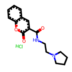 Cl.O=C(NCCN1CCCC1)c1cc2ccccc2oc1=O